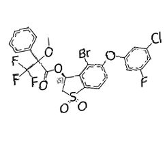 COC(C(=O)O[C@@H]1CS(=O)(=O)c2ccc(Oc3cc(F)cc(Cl)c3)c(Br)c21)(c1ccccc1)C(F)(F)F